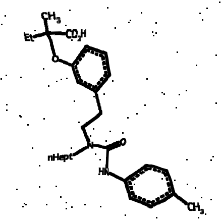 CCCCCCCN(CCc1cccc(OC(C)(CC)C(=O)O)c1)C(=O)Nc1ccc(C)cc1